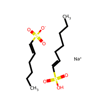 CCCCC=CS(=O)(=O)[O-].CCCCCC=CS(=O)(=O)O.[Na+]